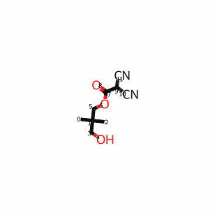 CC(C)(CO)COC(=O)C(C#N)C#N